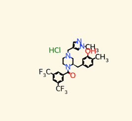 Cc1ccc(C[C@@H]2CN(Cc3cnn(C)c3)CCN2C(=O)c2cc(C(F)(F)F)cc(C(F)(F)F)c2)cc1O.Cl